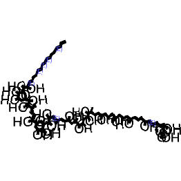 C=C/C=C/CC/C=C/C=C/C=C/CC/C=C/C(O)C(O)C1OC(C(O)C(O)C(=C)CCC(O)C2CC(O)C(O)C(C(O)C(O)/C=C(\C)CCC(O)CC(O)C(O)C(C)CC(O)C(O)C(C)CCC(O)CCCC(O)CCCC(O)CCCC(O)/C=C/CC(CO)OS(=O)(=O)O)O2)CC(O)C1O